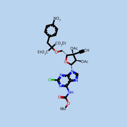 C#C[C@@]1(OC(C)=O)[C@@H](COC(Cc2ccc([N+](=O)[O-])cc2)(C(=O)OCC)C(=O)OCC)O[C@@H](n2cnc3c(NC(=O)OC(C)(C)C)nc(Cl)nc32)[C@@H]1OC(C)=O